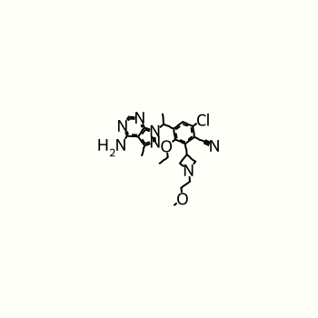 CCOc1c(C(C)n2nc(C)c3c(N)ncnc32)cc(Cl)c(C#N)c1C1CN(CCOC)C1